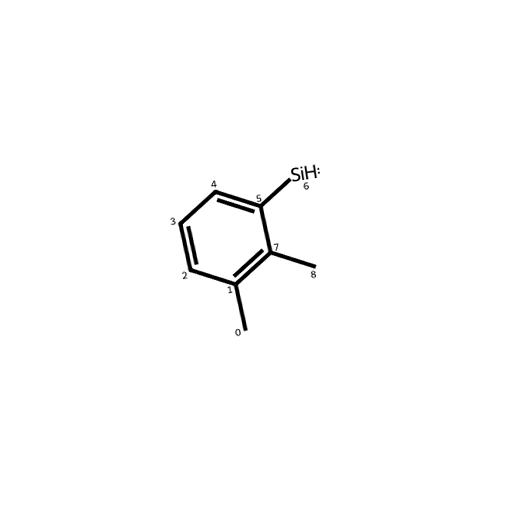 Cc1cccc([SiH])c1C